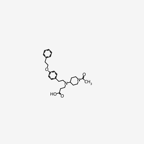 CC(=O)N1CCC(N(CCC(=O)O)CCc2ccc(OCCc3ccccc3)cc2)CC1